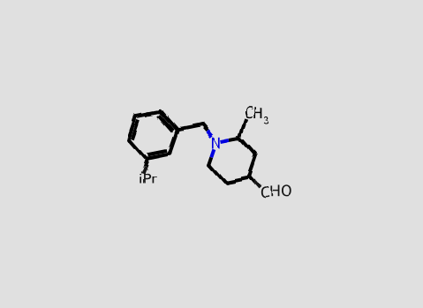 CC(C)c1cccc(CN2CCC(C=O)CC2C)c1